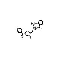 Nc1ccccc1C(=O)NCCCN1CCC(C(=O)c2ccc(F)cc2)CC1I